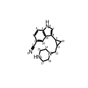 N#Cc1ccc2[nH]cc(C3CC3CN3CCNCC3)c2c1